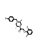 C[C@@H]1CN(Cc2ccc(F)cc2)[C@@H](C)CN1C(=O)COc1c(F)cccc1F